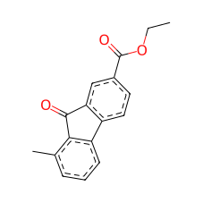 CCOC(=O)c1ccc2c(c1)C(=O)c1c(C)cccc1-2